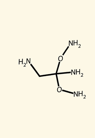 NCC(N)(ON)ON